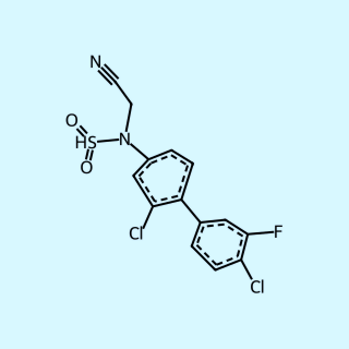 N#CCN(c1ccc(-c2ccc(Cl)c(F)c2)c(Cl)c1)[SH](=O)=O